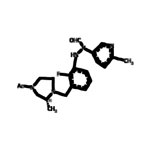 CC(=O)N1CCN(Cc2cccc(NN(C=O)c3ccc(C)nc3)c2F)[C@H](C)C1